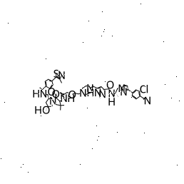 C=C(COCCN1CCN(Cc2cc(C(=O)N[C@@H](C)Cn3ccc(-c4ccc(C#N)c(Cl)c4)n3)n[nH]2)CC1)N[C@H](C(=O)N1C[C@H](O)C[C@H]1C(=O)N[C@@H](C)c1ccc(-c2scnc2C)cc1)C(C)(C)C